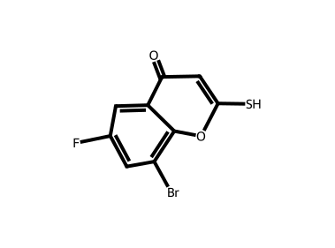 O=c1cc(S)oc2c(Br)cc(F)cc12